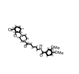 COc1ccc(C(=O)NCCCCC(=O)N2CCN(c3cccc(Cl)c3Cl)CC2)cc1OC